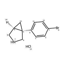 Brc1ccc([C@]23CNC[C@H]2C3)cc1.Cl